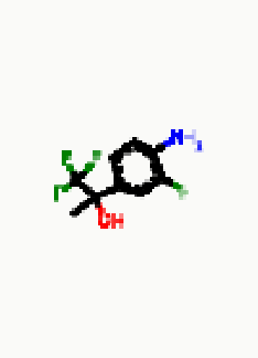 CC(O)(c1ccc(N)c(F)c1)C(F)(F)F